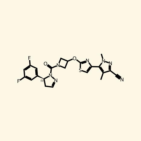 Cc1c(C#N)nn(C)c1-c1csc(OC2CN(C(=O)N3N=CC[C@H]3c3cc(F)cc(F)c3)C2)n1